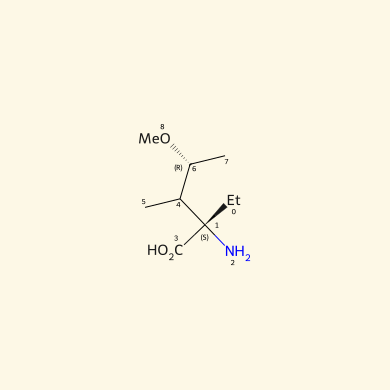 CC[C@@](N)(C(=O)O)C(C)[C@@H](C)OC